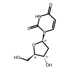 O=c1ccn([C@H]2C[C@H](O)[C@@H](CO)O2)c(=S)[nH]1